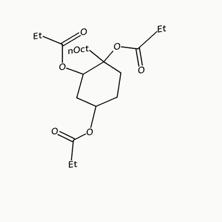 CCCCCCCCC1(OC(=O)CC)CCC(OC(=O)CC)CC1OC(=O)CC